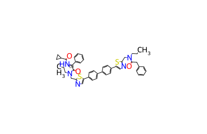 CCCN(Cc1ncc(-c2ccc(-c3ccc(-c4cnc(CN(CCC)C(=O)[C@@H](NC(=O)C5CC5)c5ccccc5)s4)cc3)cc2)s1)C(=O)Cc1ccccc1